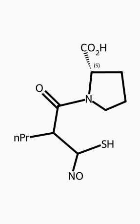 CCCC(C(=O)N1CCC[C@H]1C(=O)O)C(S)N=O